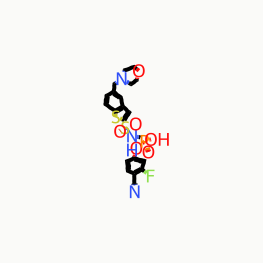 N#Cc1ccc(OP(=O)(O)CNS(=O)(=O)c2cc3cc(CN4CCOCC4)ccc3s2)cc1F